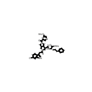 CNC(=O)[C@H](CCCc1ccccc1)NC(=O)C1CN(C(=O)Cc2c[nH]c3cc(Cl)ccc23)CC2CN(C(=O)c3cncc(OC)n3)CC21